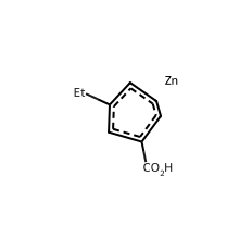 CCc1cccc(C(=O)O)c1.[Zn]